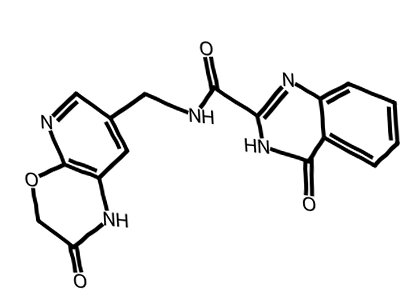 O=C1COc2ncc(CNC(=O)c3nc4ccccc4c(=O)[nH]3)cc2N1